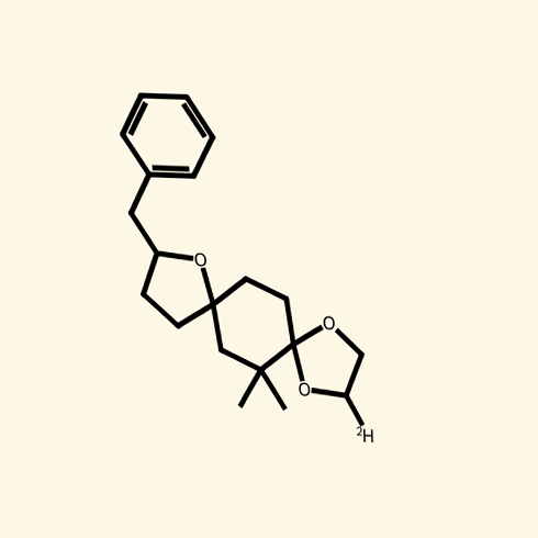 [2H]C1COC2(CCC3(CCC(Cc4ccccc4)O3)CC2(C)C)O1